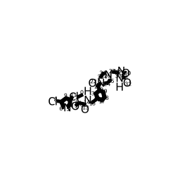 CC[C@@H](Oc1ncc(Cl)cc1Cl)C(=O)NCc1cccc(C(=O)N2CCN(Cc3noc(=O)[nH]3)CC2)c1